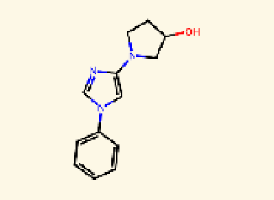 OC1CCN(c2cn(-c3ccccc3)cn2)C1